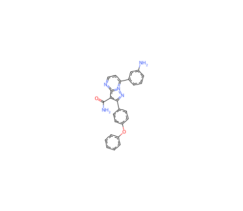 NC(=O)c1c(-c2ccc(Oc3ccccc3)cc2)nn2c(-c3cccc(N)c3)ccnc12